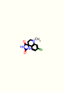 CN1CCC2(NC(=O)NC2=O)c2ccc(Br)cc21